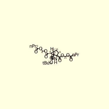 CCCC(=O)OCOC(=O)[C@H]1[C@@H]2CC[C@@](NC(=O)OC(C)(C)C)(C(=O)OCOC(=O)CCC)[C@@H]21